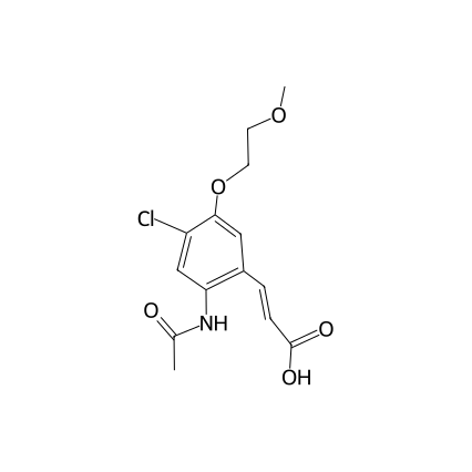 COCCOc1cc(C=CC(=O)O)c(NC(C)=O)cc1Cl